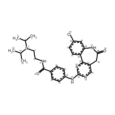 CC(C)N(CCNC(=O)c1ccc(Nc2ncc3c(n2)-c2ccc(Cl)cc2NC(=O)C3)cc1)C(C)C